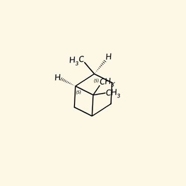 C[C@H]1[CH]CC2C[C@@H]1C2(C)C